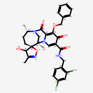 CC1=NO[C@]2(CC[C@H](C)N3C[C@H]2n2cc(C(=O)NCc4ccc(F)cc4F)c(=O)c(OCc4ccccc4)c2C3=O)C1O